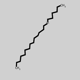 CCCCCCCCCCCCCC[1P]CCCCCC